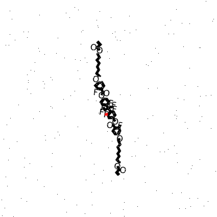 C=CC(=O)OCCCCCCCCOc1ccc(C(=O)Oc2ccc(C(c3ccc(OC(=O)c4ccc(OCCCCCCCCOC(=O)C=C)cc4F)cc3)(C(F)(F)F)C(F)(F)F)cc2)c(F)c1